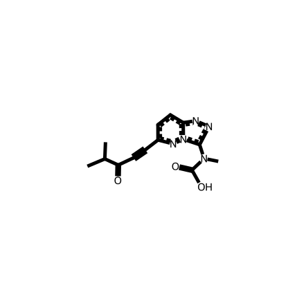 CC(C)C(=O)C#Cc1ccc2nnc(N(C)C(=O)O)n2n1